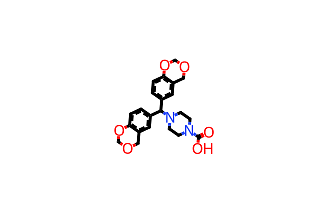 O=C(O)N1CCN(C(c2ccc3c(c2)COCO3)c2ccc3c(c2)COCO3)CC1